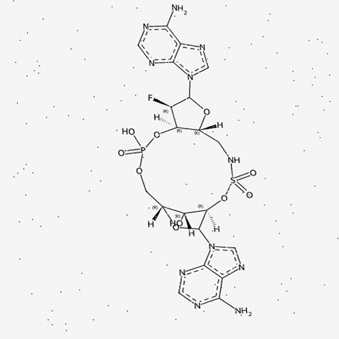 Nc1ncnc2c1ncn2C1O[C@@H]2CNS(=O)(=O)O[C@H]3C(n4cnc5c(N)ncnc54)O[C@H](COP(=O)(O)O[C@H]2[C@H]1F)[C@H]3O